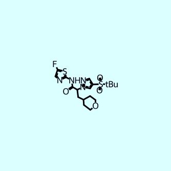 CC(C)(C)S(=O)(=O)c1cnn(C(CC2CCOCC2)C(=O)Nc2ncc(F)s2)c1